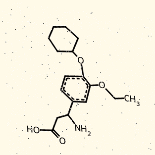 CCOc1cc(C(N)CC(=O)O)ccc1OC1CCCCC1